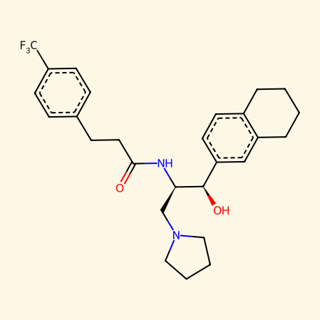 O=C(CCc1ccc(C(F)(F)F)cc1)N[C@H](CN1CCCC1)[C@H](O)c1ccc2c(c1)CCCC2